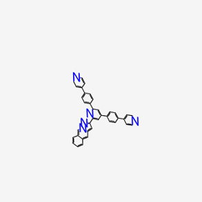 c1ccc2cn3nc(-c4cc(-c5ccc(-c6ccncc6)cc5)cc(-c5ccc(-c6ccncc6)cc5)n4)cc3cc2c1